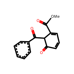 COC(=O)C1=CC=CC(=O)C1C(=O)c1ccccc1